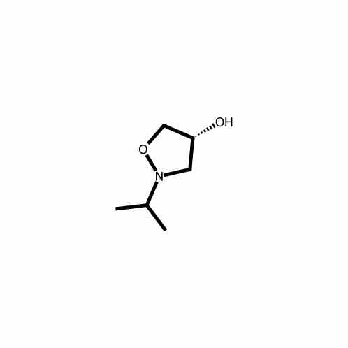 CC(C)N1C[C@@H](O)CO1